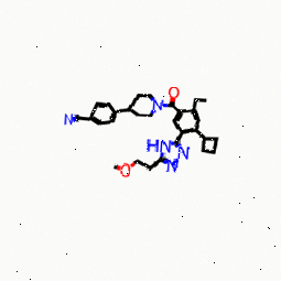 CCc1cc(C2CCC2)c(-c2nnc(CCOC)[nH]2)cc1C(=O)N1CCC(c2ccc(C#N)cc2)CC1